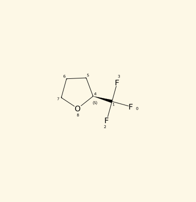 FC(F)(F)[C@@H]1CCCO1